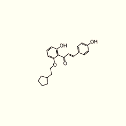 O=C(C=Cc1ccc(O)cc1)c1c(O)cccc1OCCC1CCCC1